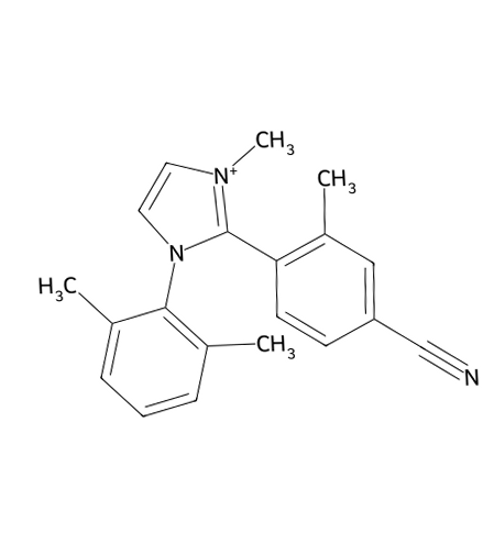 Cc1cc(C#N)ccc1-c1n(-c2c(C)cccc2C)cc[n+]1C